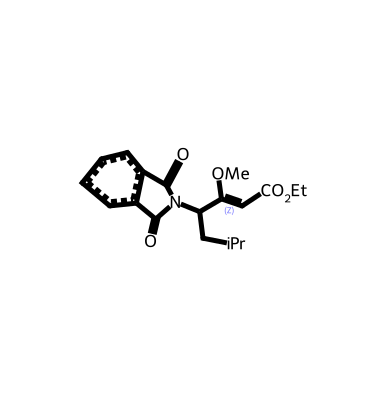 CCOC(=O)/C=C(\OC)C(CC(C)C)N1C(=O)c2ccccc2C1=O